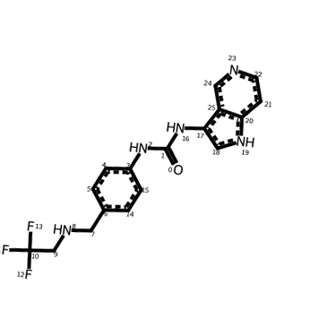 O=C(Nc1ccc(CNCC(F)(F)F)cc1)Nc1c[nH]c2ccncc12